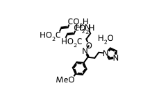 COc1ccc(C(CCn2ccnc2)=NOCCN)cc1.O.O=C(O)C=CC(=O)O.O=C(O)C=CC(=O)O